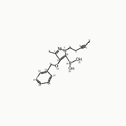 CC#CCCn1nc(C)c(OCc2ccccc2)c1B(O)O